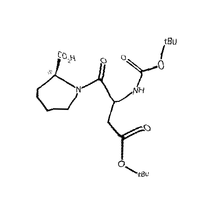 CC(C)(C)OC(=O)CC(NC(=O)OC(C)(C)C)C(=O)N1CCC[C@H]1C(=O)O